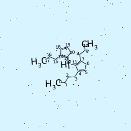 CCCCC1=CCC(CCC)=[C]1[Hf][C]1=C(CCC)C=CC1